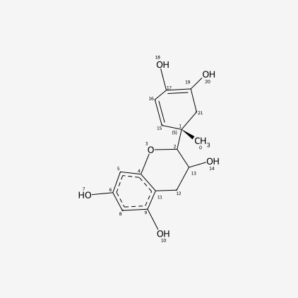 C[C@@]1(C2Oc3cc(O)cc(O)c3CC2O)C=CC(O)=C(O)C1